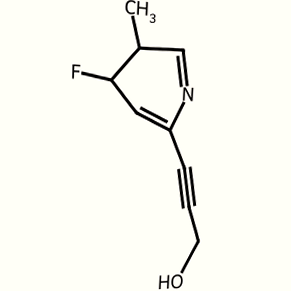 CC1C=NC(C#CCO)=CC1F